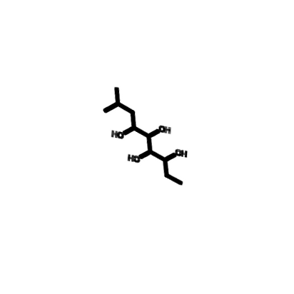 CCC(O)C(O)C(O)C(O)CC(C)C